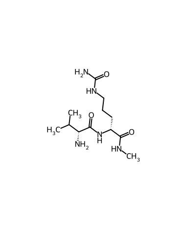 CNC(=O)[C@@H](CCCNC(N)=O)NC(=O)[C@H](N)C(C)C